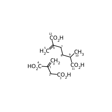 C=C(CC(=O)O)C(=O)O.C=C(CCC(C)C(=O)O)C(=O)O